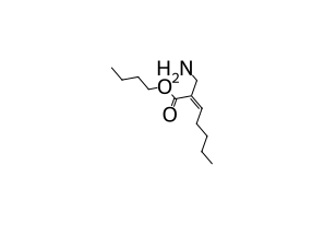 CCCCC=C(CN)C(=O)OCCCC